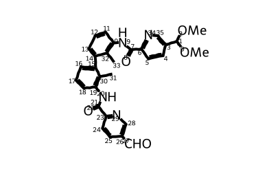 COC(OC)c1ccc(C(=O)Nc2cccc(-c3cccc(NC(=O)c4ccc(C=O)cn4)c3C)c2C)nc1